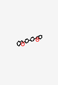 c1ccc2oc(-c3ccc(-c4ccc(-c5cc6ccccc6o5)cc4)cc3)cc2c1